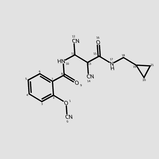 N#COc1ccccc1C(=O)NC(C#N)C(C#N)C(=O)NCC1CC1